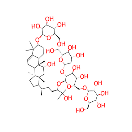 C[C@H](CC[C@@H](O[C@@H]1O[C@H](CO[C@H]2O[C@H](CO)[C@@H](O)[C@H](O)[C@H]2O)[C@@H](O)[C@H](O)[C@H]1O[C@H]1C[C@@H](O)[C@H](O)[C@@H](CO)O1)C(C)(C)O)C1CC[C@@]2(C)C3CC=C4C(CC[C@H](O[C@@H]5O[C@H](CO)[C@@H](O)[C@H](O)[C@H]5O)C4(C)C)[C@]3(C)[C@H](O)C[C@]12C